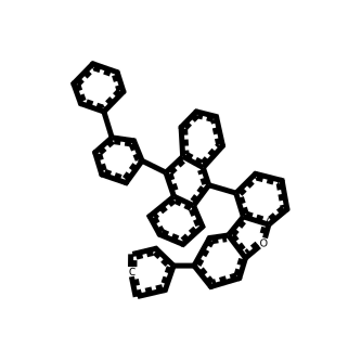 c1ccc(-c2cccc(-c3c4ccccc4c(-c4cccc5oc6ccc(-c7ccccc7)cc6c45)c4ccccc34)c2)cc1